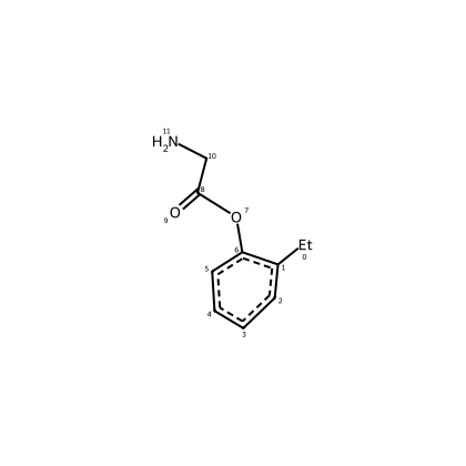 CCc1ccccc1OC(=O)CN